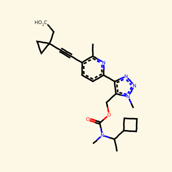 Cc1nc(-c2nnn(C)c2COC(=O)N(C)C(C)C2CCC2)ccc1C#CC1(CC(=O)O)CC1